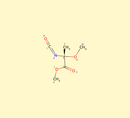 COC(=O)[C@](C)(N=C=O)OC